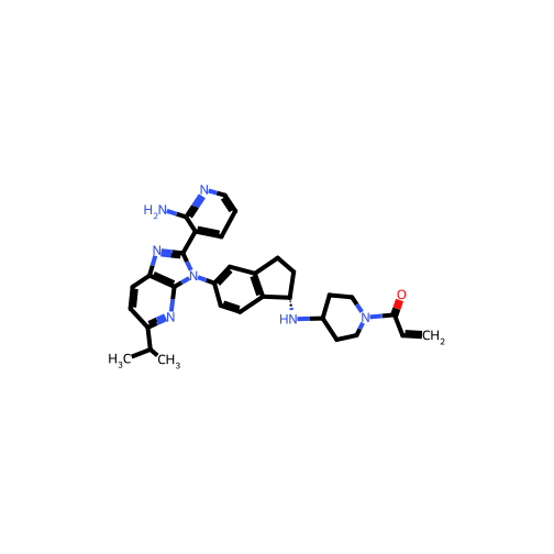 C=CC(=O)N1CCC(N[C@H]2CCc3cc(-n4c(-c5cccnc5N)nc5ccc(C(C)C)nc54)ccc32)CC1